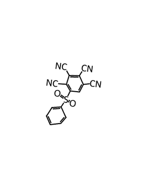 N#Cc1cc(S(=O)(=O)c2ccccc2)c(C#N)c(C#N)c1C#N